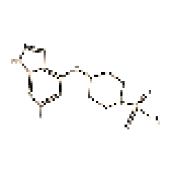 CS(=O)(=O)N1CCC(Oc2cc(Cl)cc3[nH]ncc23)CC1